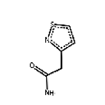 [NH]C(=O)Cc1ccsn1